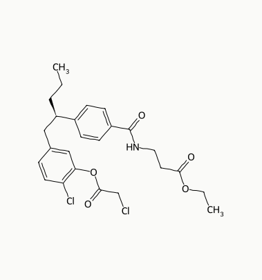 CCC[C@H](Cc1ccc(Cl)c(OC(=O)CCl)c1)c1ccc(C(=O)NCCC(=O)OCC)cc1